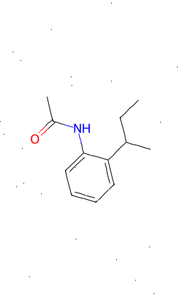 CCC(C)c1ccccc1NC(C)=O